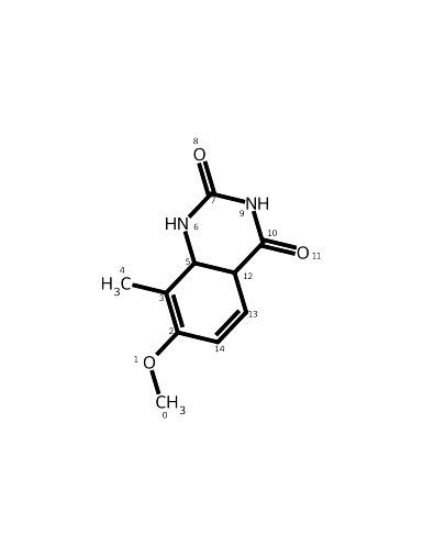 COC1=C(C)C2NC(=O)NC(=O)C2C=C1